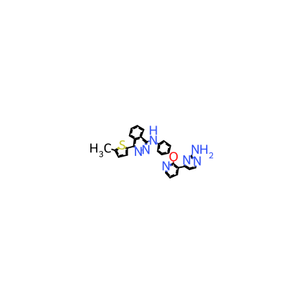 Cc1ccc(-c2nnc(Nc3ccc(Oc4ncccc4-c4ccnc(N)n4)cc3)c3ccccc23)s1